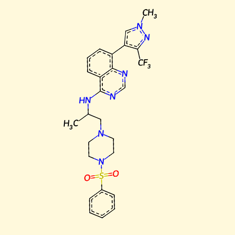 CC(CN1CCN(S(=O)(=O)c2ccccc2)CC1)Nc1ncnc2c(-c3cn(C)nc3C(F)(F)F)cccc12